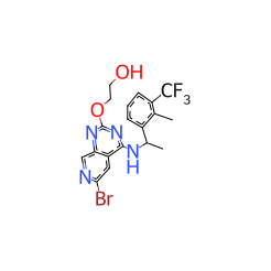 Cc1c(C(C)Nc2nc(OCCO)nc3cnc(Br)cc23)cccc1C(F)(F)F